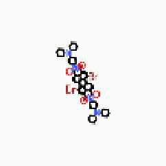 O=C1c2ccc3c4c(Br)cc5c6c(ccc(c7c(Br)cc(c2c37)C(=O)N1c1ccc(N(c2ccccc2)c2ccccc2)cc1)c64)C(=O)N(c1ccc(N(c2ccccc2)c2ccccc2)cc1)C5=O